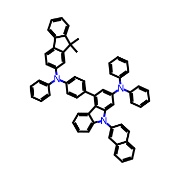 CC1(C)c2ccccc2-c2ccc(N(c3ccccc3)c3ccc(-c4cc(N(c5ccccc5)c5ccccc5)cc5c4c4ccccc4n5-c4ccc5ccccc5c4)cc3)cc21